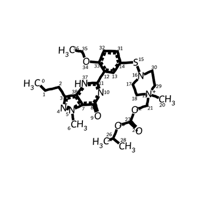 CCCc1nn(C)c2c(=O)nc(-c3cc(SN4CC[N+](C)(COC(=O)OC(C)C)CC4)ccc3OCC)[nH]c12